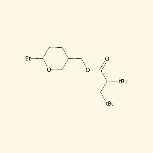 CCC1CCC(COC(=O)C(CC(C)(C)C)C(C)(C)C)CO1